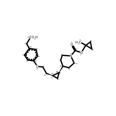 CC1(OC(=O)N2CCC([C@H]3C[C@H]3CCOc3ccc(CC(=O)O)cc3)CC2)CC1